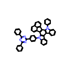 c1ccc(-c2nc(-c3ccccc3)nc(-c3ccc(-n4c5ccccc5c5c6c7ccccc7n(-c7ccccc7)c6c6c(c54)-c4cccc5cccc-6c45)cc3)n2)cc1